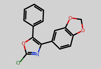 Clc1nc(-c2ccc3c(c2)OCO3)c(-c2ccccc2)o1